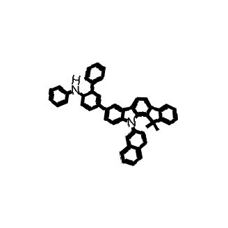 CC1(C)c2ccccc2-c2ccc3c4cc(C5=CC(c6ccccc6)C(Nc6ccccc6)C=C5)ccc4n(-c4ccc5ccccc5c4)c3c21